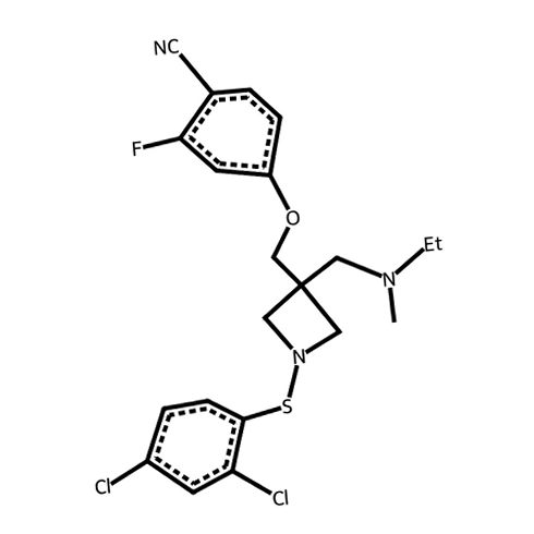 CCN(C)CC1(COc2ccc(C#N)c(F)c2)CN(Sc2ccc(Cl)cc2Cl)C1